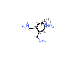 CN.NCc1ccccc1CN